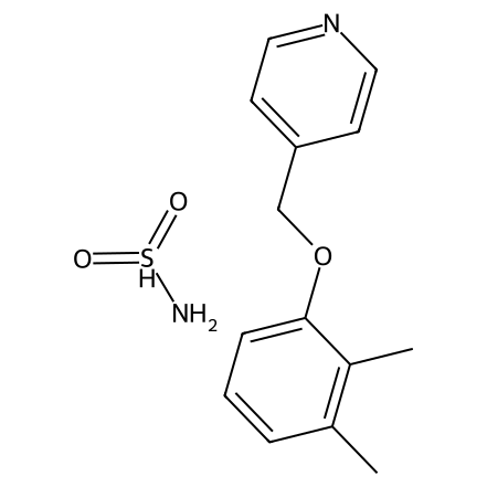 Cc1cccc(OCc2ccncc2)c1C.N[SH](=O)=O